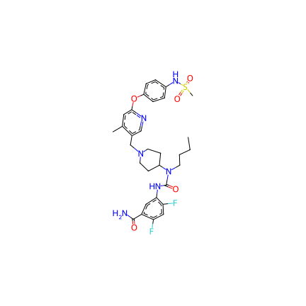 CCCCN(C(=O)Nc1cc(C(N)=O)c(F)cc1F)C1CCN(Cc2cnc(Oc3ccc(NS(C)(=O)=O)cc3)cc2C)CC1